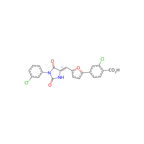 O=C(O)c1ccc(-c2ccc(/C=C3\NC(=O)N(c4cccc(Cl)c4)C3=O)o2)cc1Cl